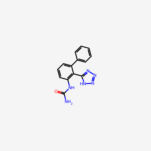 NC(=O)Nc1cccc(-c2ccccc2)c1-c1nnn[nH]1